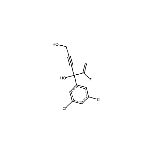 C=C(F)C(O)(C#CCO)c1cc(Cl)cc(Cl)c1